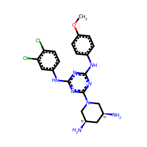 COc1ccc(Nc2nc(Nc3ccc(Cl)c(Cl)c3)nc(N3C[C@H](N)C[C@H](N)C3)n2)cc1